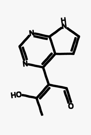 CC(O)=C(C=O)c1ncnc2[nH]ccc12